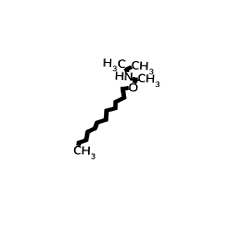 CCCCCCCCCCCCOC(C)NC(C)C